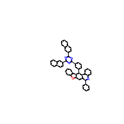 c1ccc(-c2nc3ccccc3c3c(-c4cccc(-c5nc(-c6ccc7ccccc7c6)nc(-c6ccc7ccccc7c6)n5)c4)c4c(cc23)oc2ccccc24)cc1